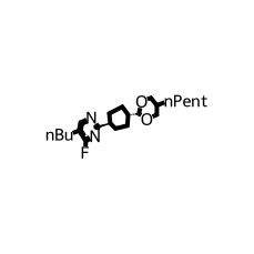 CCCCCC1COC([C@H]2CC[C@H](c3ncc(CCCC)c(F)n3)CC2)OC1